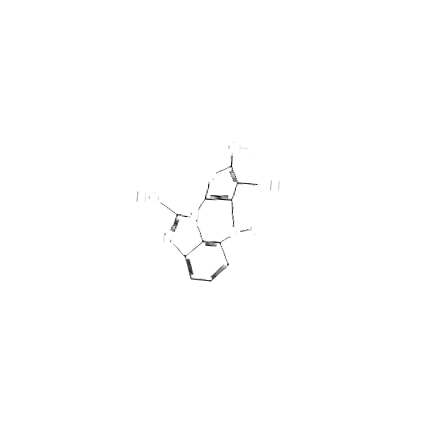 CB1c2c(sc(C)c2C)-n2c(O)nc3cccc1c32